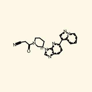 N#CCC(=O)N1CCC[C@H](n2cnc3ccc(-c4cnn5ccccc45)nc32)C1